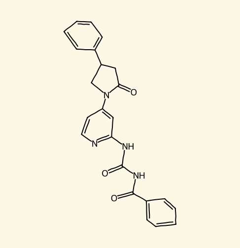 O=C(NC(=O)c1ccccc1)Nc1cc(N2CC(c3ccccc3)CC2=O)ccn1